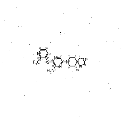 C[C@H]1COCC12CCN(c1cnc(Sc3cccnc3C(F)(F)F)c(N)n1)CC2